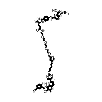 Cc1nc2cc(F)c(-c3cnc(OCCCCCn4cc(COCCOCCOCCOCCNC(=O)CC[C@H](NC(=O)c5ccc(NCc6cnc7nc(N)nc(O)c7n6)cc5)C(=O)O)nn4)nc3)nc2c(N[C@H](C)c2cc(C#N)ccc2F)c1Cl